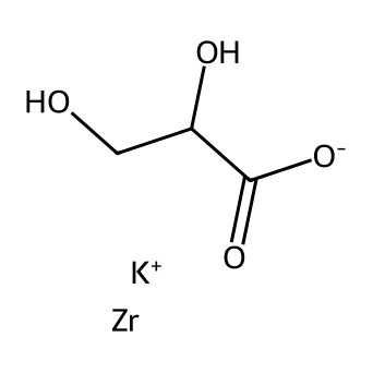 O=C([O-])C(O)CO.[K+].[Zr]